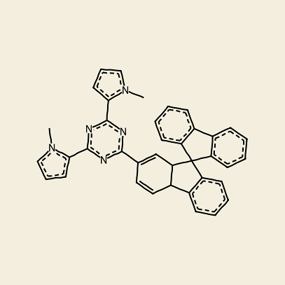 Cn1cccc1-c1nc(C2=CC3C(C=C2)c2ccccc2C32c3ccccc3-c3ccccc32)nc(-c2cccn2C)n1